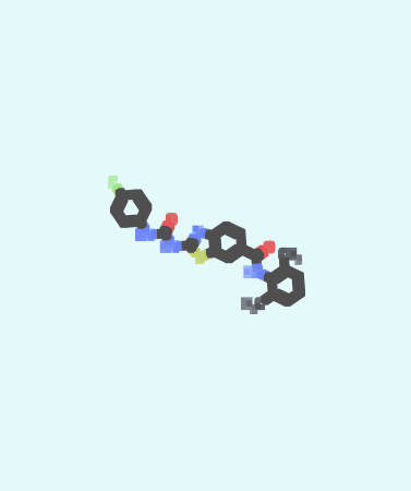 Cc1cccc(C)c1NC(=O)c1ccc2nc(NC(=O)Nc3ccc(F)cc3)sc2c1